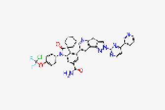 NC(=O)c1cc(-c2cnc3c(c2)-c2nn(-c4nccc(-c5cccnc5)n4)cc2C3)c2c(c1)N(c1ccc(OC(F)(F)Cl)cc1)C(=O)C21CCCCC1